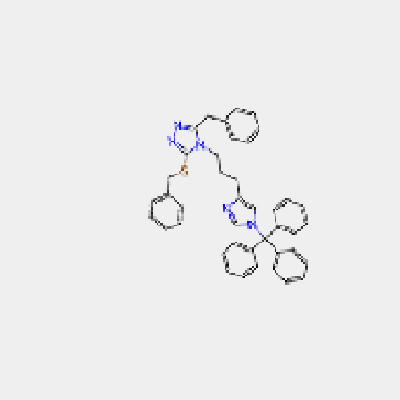 c1ccc(CSc2nnc(Cc3ccccc3)n2CCCc2cn(C(c3ccccc3)(c3ccccc3)c3ccccc3)cn2)cc1